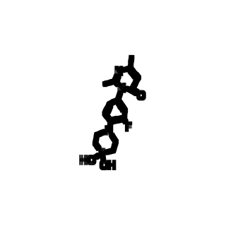 Cc1cc(=O)n(-c2ccc(N3CCS(O)(O)CC3)c(F)c2)c(C)n1